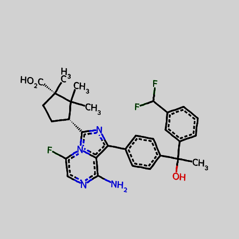 CC(O)(c1ccc(-c2nc([C@@H]3CC[C@](C)(C(=O)O)C3(C)C)n3c(F)cnc(N)c23)cc1)c1cccc(C(F)F)c1